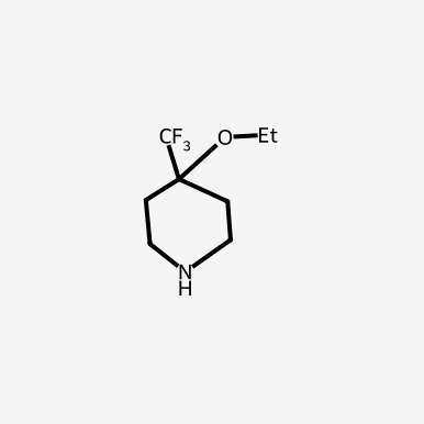 CCOC1(C(F)(F)F)CCNCC1